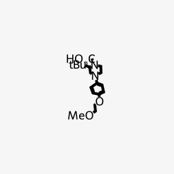 COCCOc1ccc(N2CCN(C(=O)O)C(C(C)(C)C)C2)cc1